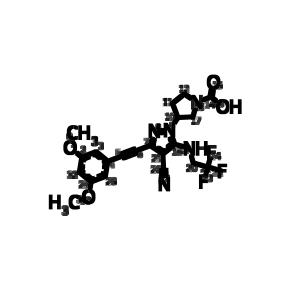 COc1cc(C#Cc2nn(C3CCN(C(=O)O)C3)c(NCC(F)(F)F)c2C#N)cc(OC)c1